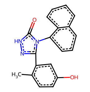 Cc1ccc(O)cc1-c1n[nH]c(=O)n1-c1cccc2ccccc12